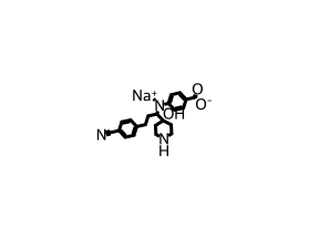 CN(c1ccc(C(=O)[O-])cc1)C(CCc1ccc(C#N)cc1)C1(O)CCNCC1.[Na+]